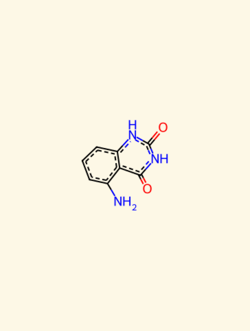 Nc1cccc2[nH]c(=O)[nH]c(=O)c12